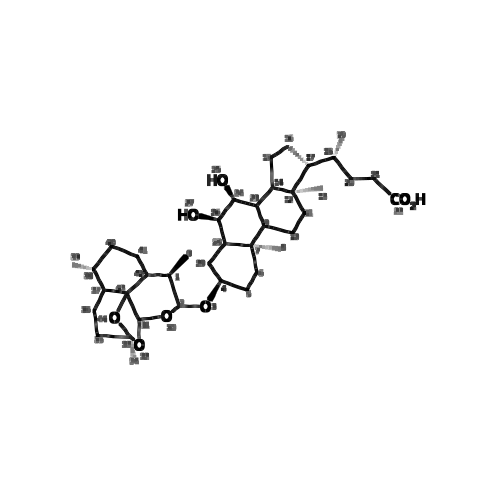 C[C@H]1C(O[C@@H]2CC[C@]3(C)C4CC[C@@]5(C)C(CC[C@@H]5[C@H](C)CCC(=O)O)C4[C@H](O)[C@H](O)C3C2)OC2O[C@@]3(C)CCC4[C@H](C)CCC1C24O3